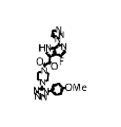 COc1ccc(-n2nnnc2N2CCN(C(=O)C(=O)c3c[nH]c4c(-n5ccnn5)ncc(F)c34)CC2)cc1